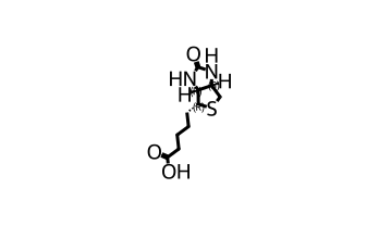 O=C(O)CCCC[C@H]1SC[C@H]2NC(=O)N[C@H]21